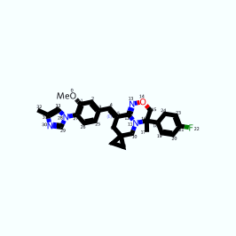 COc1cc(/C=C2\CC3(CC3)CN3C2=NOCC3(C)C2C=CC(F)=CC2)ccc1-n1cnc(C)c1